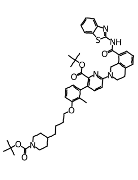 Cc1c(OCCCCC2CCN(C(=O)OC(C)(C)C)CC2)cccc1-c1ccc(N2CCc3cccc(C(=O)Nc4nc5ccccc5s4)c3C2)nc1C(=O)OC(C)(C)C